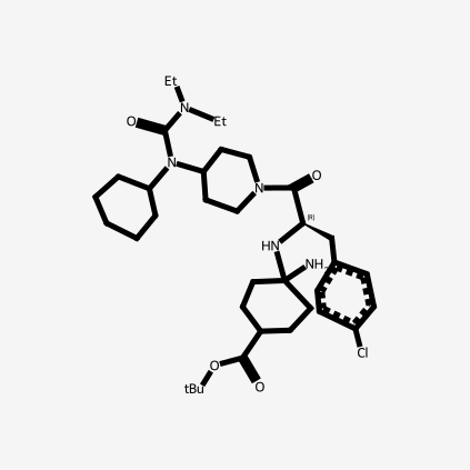 CCN(CC)C(=O)N(C1CCCCC1)C1CCN(C(=O)[C@@H](Cc2ccc(Cl)cc2)NC2(N)CCC(C(=O)OC(C)(C)C)CC2)CC1